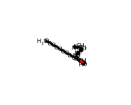 COCCOCCOCCOCCOCCOCCOCCOCCCOc1nn([C@H]2CC[C@H](N3[C@@H]4CC[C@H]3COC4)CC2)cc1Nc1ncc(-c2ccc(Cl)c(O[C@@H](C)Cn3cncn3)c2)cn1